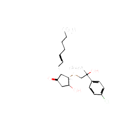 CCCCCC(O)(CS[C@H]1C(O)CC(=O)[C@@H]1CC=CCCCC(=O)O)c1ccc(Cl)cc1